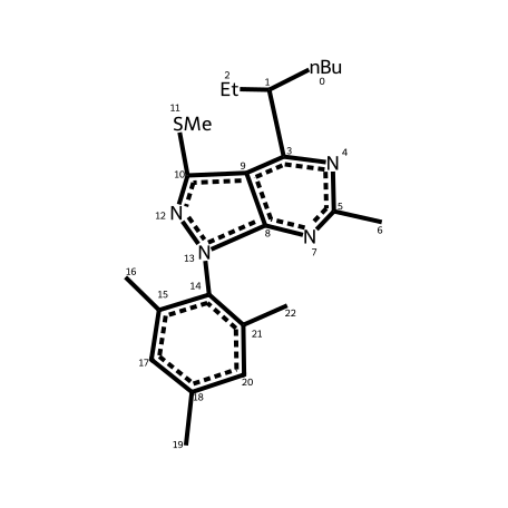 CCCCC(CC)c1nc(C)nc2c1c(SC)nn2-c1c(C)cc(C)cc1C